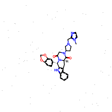 Cn1ccnc1CN1CC[C@@H](N2CC(=O)N3[C@@H](c4ccc5c(c4)OCO5)c4[nH]c5ccccc5c4C[C@@H]3C2=O)C1